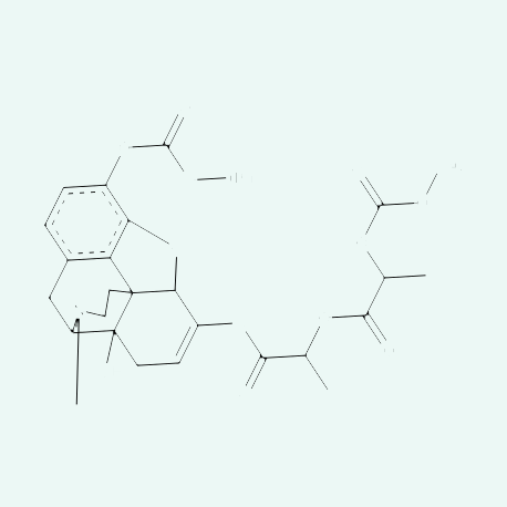 CC(OC(=O)OC(C)(C)C)C(=O)OC(C)C(=O)OC1=CCC2(O)C3Cc4ccc(OC(=O)OC(C)(C)C)c5c4C2(CCN3C)C1O5